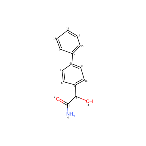 NC(=O)C(O)c1ccc(-c2ccccc2)cc1